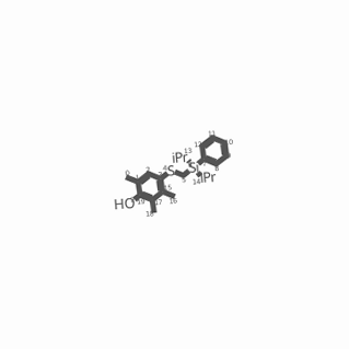 Cc1cc(SC[Si](c2ccccc2)(C(C)C)C(C)C)c(C)c(C)c1O